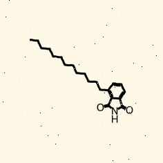 CCCCCCCCCCCCCc1cccc2c1C(=O)NC2=O